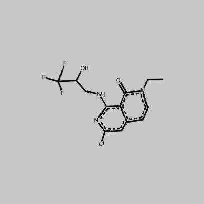 CCn1ccc2cc(Cl)nc(NCC(O)C(F)(F)F)c2c1=O